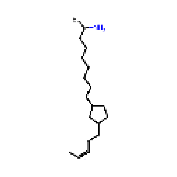 C/C=C\CCC1CCC(CCCCCCCC(N)CC)C1